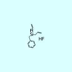 C=CC[SiH](CC=C)Cc1ccccc1.F